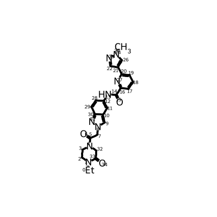 CCN1CCN(C(=O)Cn2cc3cc(NC(=O)c4cccc(-c5cnn(C)c5)n4)ccc3n2)CC1=O